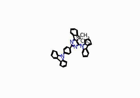 C[Si]1(C)c2ccccc2-c2nc(-c3ccc(-n4c5ccccc5c5ccccc54)cc3)nc(-n3c4ccccc4c4ccccc43)c21